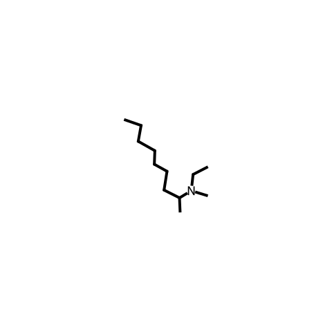 CCCCCCCC(C)N(C)CC